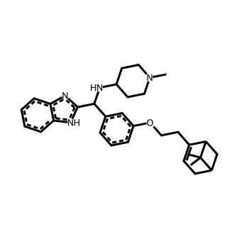 CN1CCC(NC(c2cccc(OCCC3=CCC4CC3C4(C)C)c2)c2nc3ccccc3[nH]2)CC1